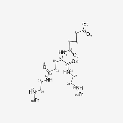 CCC(=O)CCCC(=O)NC(CCC(=O)NCCNC(C)C)C(=O)NCCNC(C)C